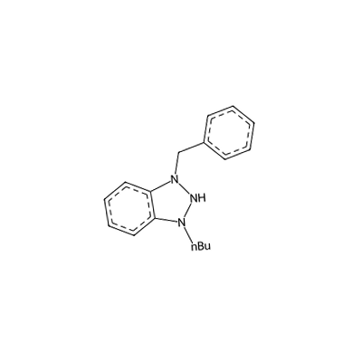 CCCCN1NN(Cc2ccccc2)c2ccccc21